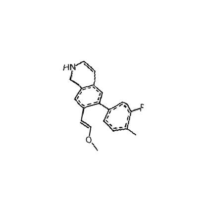 CO/C=C/c1cc2c(cc1-c1ccc(C)c(F)c1)C=CNC2